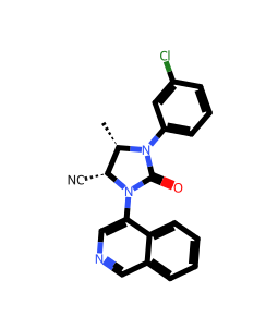 C[C@H]1[C@@H](C#N)N(c2cncc3ccccc23)C(=O)N1c1cccc(Cl)c1